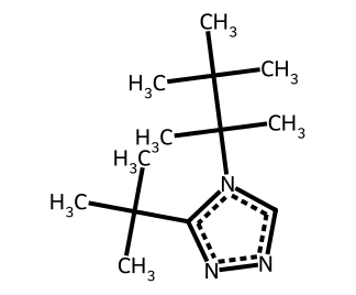 CC(C)(C)c1nncn1C(C)(C)C(C)(C)C